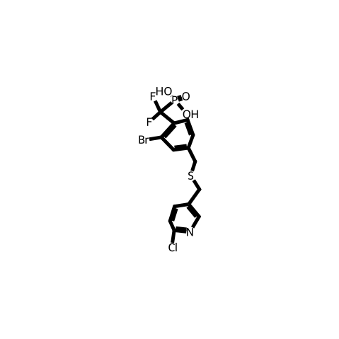 O=P(O)(O)C(F)(F)c1ccc(CSCc2ccc(Cl)nc2)cc1Br